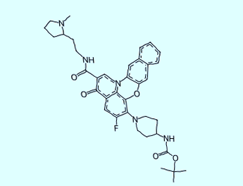 CN1CCCC1CCNC(=O)c1cn2c3c(c(N4CCC(NC(=O)OC(C)(C)C)CC4)c(F)cc3c1=O)Oc1cc3ccccc3cc1-2